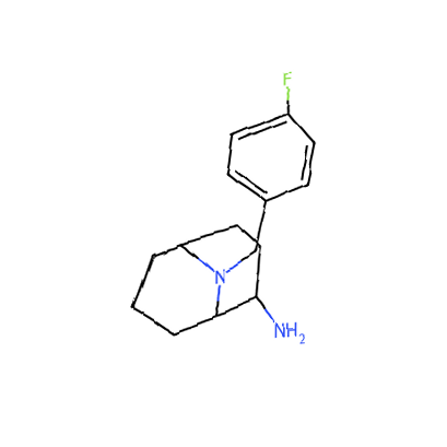 NC1CCC2CCCC1N2Cc1ccc(F)cc1